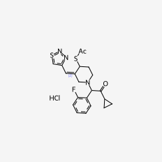 CC(=O)SC1CCN(C(C(=O)C2CC2)c2ccccc2F)C/C1=C/c1csnn1.Cl